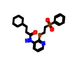 O=C(CCC1CCCCC1)Nc1cccnc1SCCS(=O)(=O)c1ccccc1